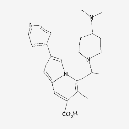 Cc1c(C(=O)O)cc2cc(-c3ccncc3)cn2c1C(C)N1CCC(N(C)C)CC1